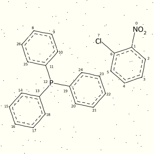 O=[N+]([O-])c1ccccc1Cl.c1ccc(P(c2ccccc2)c2ccccc2)cc1